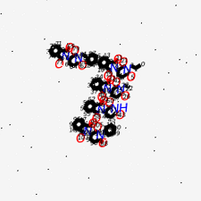 C=CCN1C(=O)CCC(N2C(=O)c3ccccc3C2=O)C1=O.CCN1C(=O)CCC(N2C(=O)c3ccccc3C2=O)C1=O.O=C1CCC(N2C(=O)c3ccccc3C2=O)C(=O)N1.O=C1CCC(N2C(=O)c3ccccc3C2=O)C(=O)N1Cc1ccccc1.O=C1CCC(N2C(=O)c3ccccc3C2=O)C(=O)N1c1ccccc1